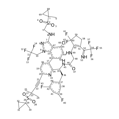 CC1(S(=O)(=O)CNc2nn(CC(F)(F)F)c3c(-c4ccc(C#CC(C)(C)S(=O)(=O)C5(C)CC5)nc4[C@H](Cc4cc(F)cc(F)c4)NC(=O)CNC4=C(C(=N)C(F)(F)F)CCC4(F)F)ccc(Cl)c23)CC1